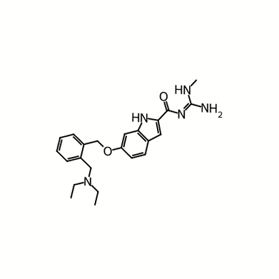 CCN(CC)Cc1ccccc1COc1ccc2cc(C(=O)N=C(N)NC)[nH]c2c1